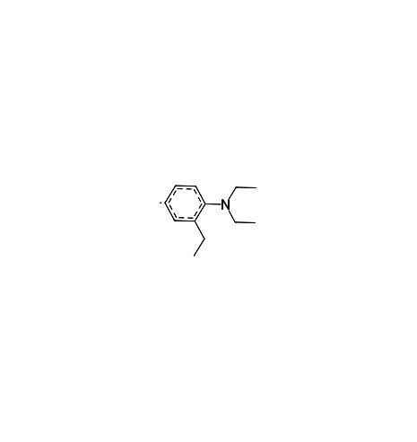 CCc1c[c]ccc1N(CC)CC